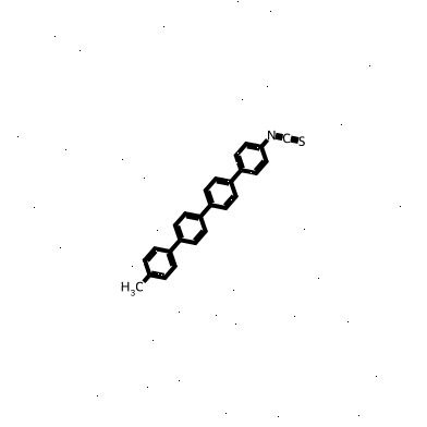 Cc1ccc(-c2ccc(-c3ccc(-c4ccc(N=C=S)cc4)cc3)cc2)cc1